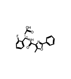 Cc1oc(-c2ccccc2)nc1C(=O)N[C@@H](CC(=O)O)c1ccccc1F